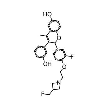 CC1=C(c2cccc(O)c2)C(c2ccc(OCCN3CC(CF)C3)c(F)c2)Oc2ccc(O)cc21